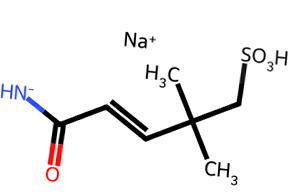 CC(C)(C=CC([NH-])=O)CS(=O)(=O)O.[Na+]